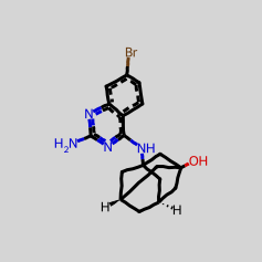 Nc1nc(NC23C[C@@H]4C[C@@H](CC(O)(C4)C2)C3)c2ccc(Br)cc2n1